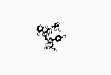 CC1(CNC(=O)c2nc(Cn3nc(-c4ccc(Cl)cc4)n(C[C@H](O)C(F)(F)F)c3=O)nn2-c2cnccc2Cl)COC1